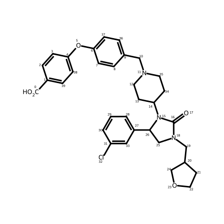 O=C(O)c1ccc(Oc2ccc(CN3CCC(N4C(=O)N(CC5CCOC5)CC4c4cccc(Cl)c4)CC3)cc2)cc1